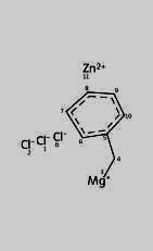 [Cl-].[Cl-].[Cl-].[Mg+][CH2]c1ccccc1.[Zn+2]